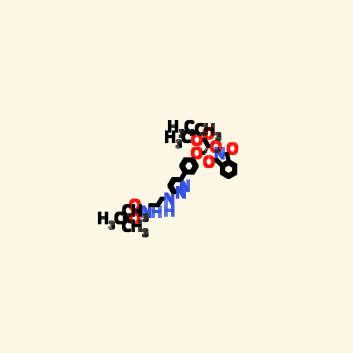 CC(C)(C)OC(=O)NCCCNc1ccc(-c2ccc(OC[C@@H](ON3C(=O)c4ccccc4C3=O)C(=O)OC(C)(C)C)cc2)nn1